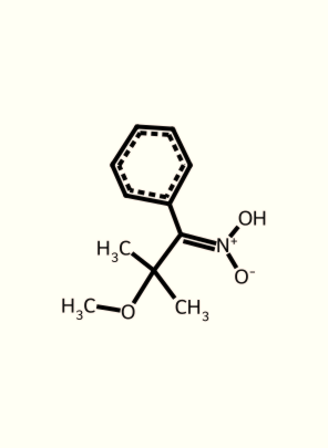 COC(C)(C)C(c1ccccc1)=[N+]([O-])O